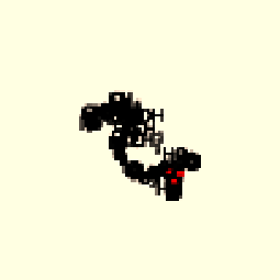 Cc1nccn1-c1ccc([C@H](C)NC(=O)[C@@H]2C[C@@H](O)CN2C(=O)[C@@H](c2cc(OCCN3CCC(OC4CC(Oc5cc(N6C7CC[C@@H]6CN(c6cc(-c8ccccc8O)nnc6N)C7)ccn5)C4)CC3)no2)C(C)C)cc1